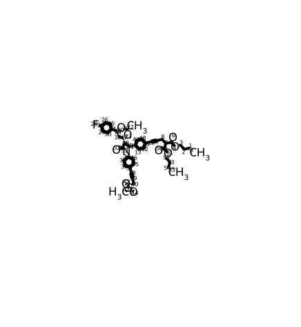 CCCCOC(=O)C(CC#Cc1ccc([C@@H]2[C@@H](CC[C@H](OC(C)=O)c3ccc(F)cc3)C(=O)N2c2ccc(C#CCS(C)(=O)=O)cc2)cc1)C(=O)OCCCC